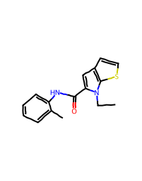 CCn1c(C(=O)Nc2ccccc2C)cc2ccsc21